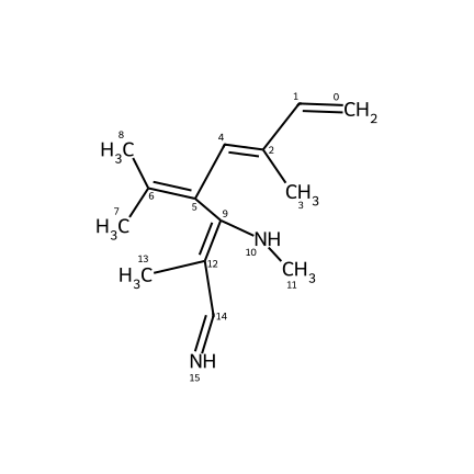 C=C/C(C)=C/C(=C(C)C)/C(NC)=C(\C)C=N